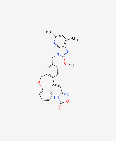 CCOc1nc2c(C)cc(C)nc2n1Cc1ccc2c(c1)COc1ccccc1C2=Cc1noc(=O)[nH]1